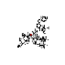 CC(C)C(=O)Nc1nc2c(nnn2[C@@H]2O[C@@H]3CO[Si](C(C)C)(C(C)C)O[Si](C(C)C)(C(C)C)O[C@H]3[C@H]2OP(=S)(OCCC#N)OC[C@H]2C[C@@H](Oc3ccncn3)C[C@@H]2O[PH](=O)O)c(=O)[nH]1